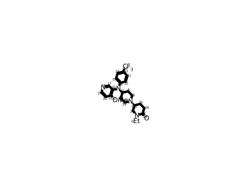 CCN1C[C@@H](N2CCC(N(c3ccc(C(F)(F)F)cc3)c3cnccc3OC)CC2)CCC1=O